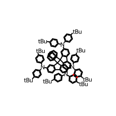 CC(C)(C)c1ccc(N(c2ccc(C(C)(C)C)cc2)c2ccc3c(c2)C(c2ccccc2)(C2(c4ccccc4)c4cc(N(c5ccc(C(C)(C)C)cc5)c5ccc(C(C)(C)C)cc5)ccc4-c4ccc(N(c5ccc(C(C)(C)C)cc5)c5ccc(C(C)(C)C)cc5)cc42)c2cc(N(c4ccc(C(C)(C)C)cc4)c4ccc(C(C)(C)C)cc4)ccc2-3)cc1